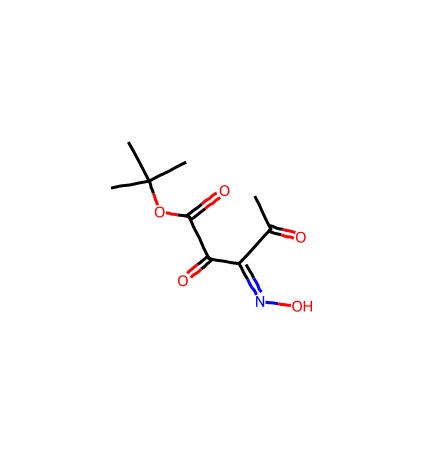 CC(=O)/C(=N\O)C(=O)C(=O)OC(C)(C)C